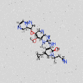 COc1c(Oc2cnn3ccncc23)cnc2nc(Nc3cc(C4CC4)cn(C(C)CC#N)c3=O)n(C)c12